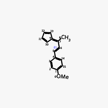 COc1ccc(/C=C/C(C)=C2C=CC=C2)cc1